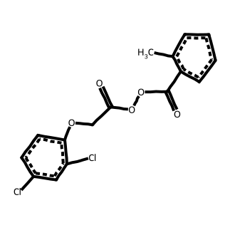 Cc1ccccc1C(=O)OOC(=O)COc1ccc(Cl)cc1Cl